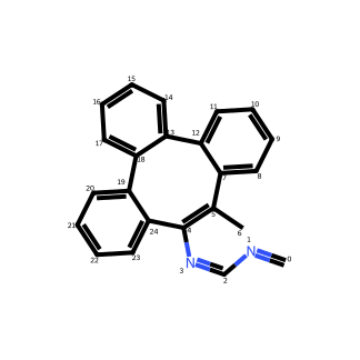 C=N/C=N\C1=C(/C)c2ccccc2-c2ccccc2-c2ccccc21